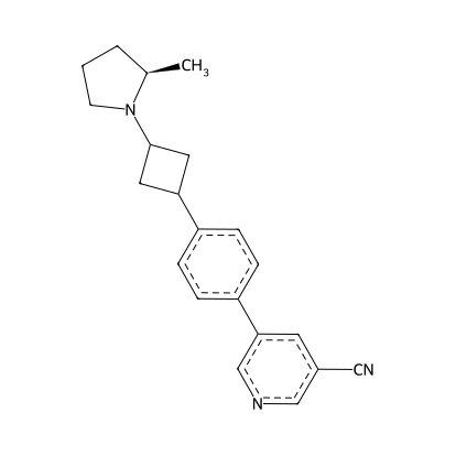 C[C@@H]1CCCN1C1CC(c2ccc(-c3cncc(C#N)c3)cc2)C1